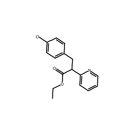 CCOC(=O)C(Cc1ccc(Cl)cc1)c1ccccn1